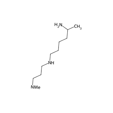 CNCCCNCCCCC(C)N